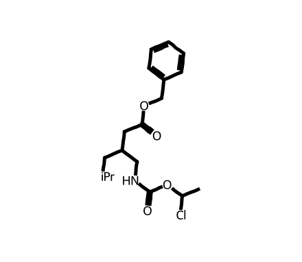 CC(C)CC(CNC(=O)OC(C)Cl)CC(=O)OCc1ccccc1